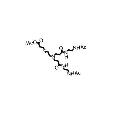 COC(=O)CCSCCN(CCC(=O)NCCNC(C)=O)CCC(=O)NCCNC(C)=O